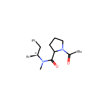 CC(=O)[C@@H](CC(C)C)N(C)C(=O)C1CCCN1C(=O)C(C)(C)C